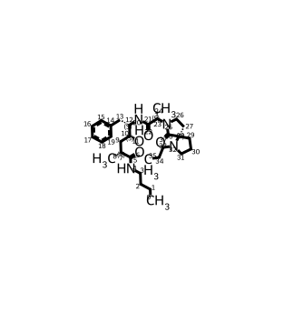 CCCCNC(=O)[C@H](C)C[C@H](O)[C@H](Cc1ccccc1)NC(=O)[C@H](C)N1CC[C@@]2(CCCN2CCC)C1=O